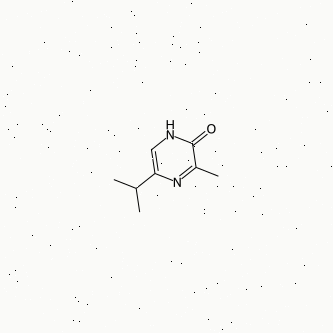 Cc1nc(C(C)C)c[nH]c1=O